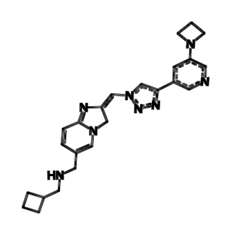 C1=CC2=NC(=Cn3cc(-c4cncc(N5CCC5)c4)nn3)CN2C=C1CNCC1CCC1